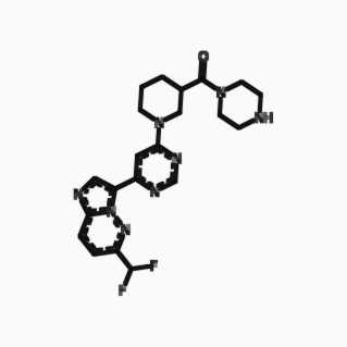 O=C(C1CCCN(c2cc(-c3cnc4ccc(C(F)F)nn34)ncn2)C1)N1CCNCC1